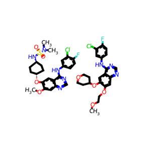 COCCOc1cc2ncnc(Nc3ccc(F)c(Cl)c3)c2cc1OC1CCOCC1.COc1cc2ncnc(Nc3ccc(F)c(Cl)c3)c2cc1O[C@H]1CC[C@H](NS(=O)(=O)N(C)C)CC1